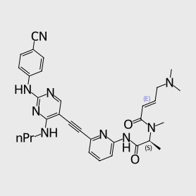 CCCNc1nc(Nc2ccc(C#N)cc2)ncc1C#Cc1cccc(NC(=O)[C@H](C)N(C)C(=O)/C=C/CN(C)C)n1